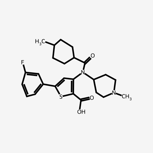 CC1CCC(C(=O)N(c2cc(-c3cccc(F)c3)sc2C(=O)O)C2CCN(C)CC2)CC1